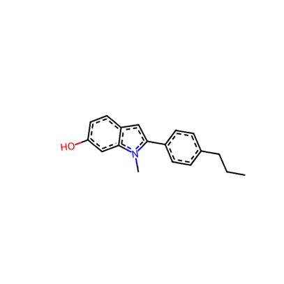 CCCc1ccc(-c2cc3ccc(O)cc3n2C)cc1